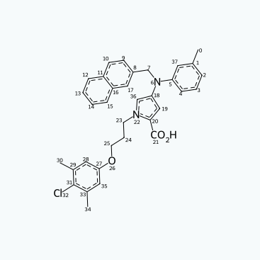 Cc1cccc(N(Cc2ccc3ccccc3c2)c2cc(C(=O)O)n(CCCOc3cc(C)c(Cl)c(C)c3)c2)c1